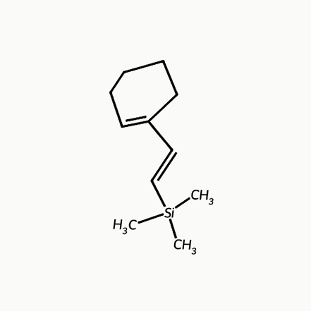 C[Si](C)(C)C=CC1=CCCCC1